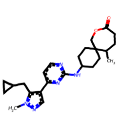 CC1CCC(=O)OCC12CCC(Nc1nccc(-c3cnn(C)c3CC3CC3)n1)CC2